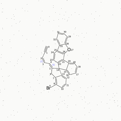 C#C/C=C\C=C1/Cc2c(Br)cccc2C12c1ccccc1-c1c2ccc2c1oc1ccccc12